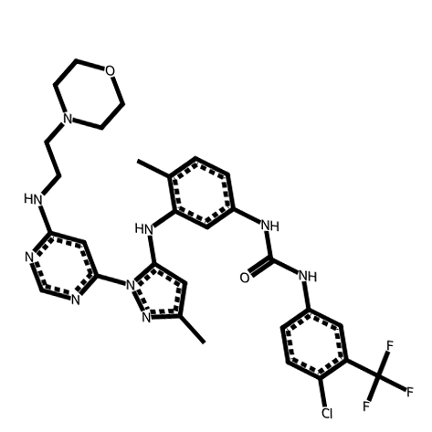 Cc1cc(Nc2cc(NC(=O)Nc3ccc(Cl)c(C(F)(F)F)c3)ccc2C)n(-c2cc(NCCN3CCOCC3)ncn2)n1